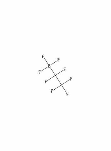 F[B-](F)(F)C(F)(F)C(F)(F)F